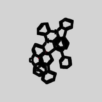 c1ccc(-c2cccc(N(c3ccc4oc5ccccc5c4c3)c3ccccc3-n3c4ccccc4c4ccccc43)c2-c2ccc3sc4ccccc4c3c2)cc1